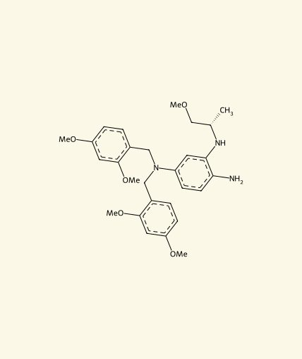 COC[C@H](C)Nc1cc(N(Cc2ccc(OC)cc2OC)Cc2ccc(OC)cc2OC)ccc1N